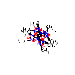 CCCCN1C(=O)C(=c2[nH]c(=C3C(=O)N(CCCC)C(=O)N(CCCC)C3=O)c3cc4c(=C5C(=O)N(CCCC)C(=O)N(CCCC)C5=O)[nH]c(=C5C(=O)N(CCCC)C(=O)N(CCCC)C5=O)c4cc23)C(=O)N(CCCC)C1=O